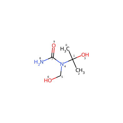 CC(C)(O)N(CO)C(N)=O